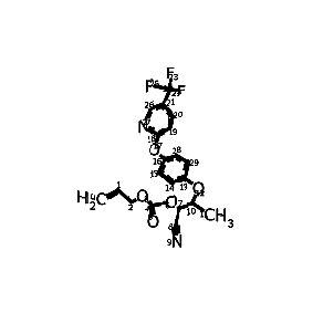 C=CCOC(=O)OC(C#N)C(C)Oc1ccc(Oc2ccc(C(F)(F)F)cn2)cc1